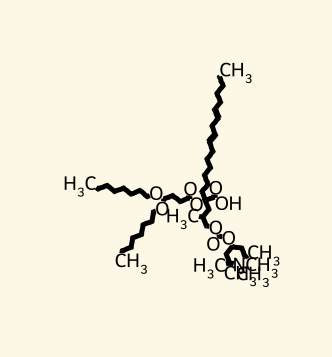 CCCCCC=CCC=CCCCCCCC(CC(C)COC(=O)OC1CC(C)(C)N(C)C(C)(C)C1)(OC(=O)CCC(OCCCCCCCC)OCCCCCCCC)C(=O)O